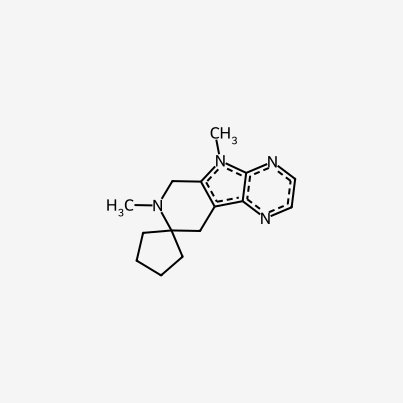 CN1Cc2c(c3nccnc3n2C)CC12CCCC2